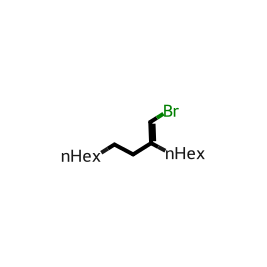 CCCCCCCCC(=CBr)CCCCCC